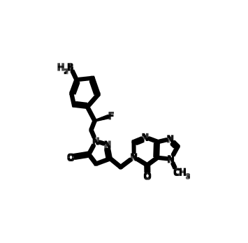 Bc1ccc([C@@H](F)CN2N=C(Cn3cnc4ncn(C)c4c3=O)CC2=O)cc1